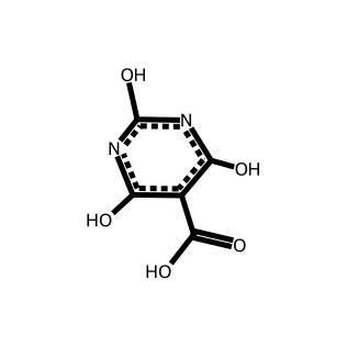 O=C(O)c1c(O)nc(O)nc1O